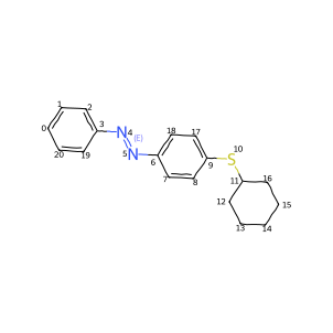 c1ccc(/N=N/c2ccc(SC3CCCCC3)cc2)cc1